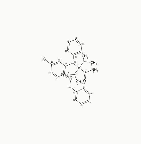 CC(C)C(C(N)=O)(C(C)C)C(c1ccccc1)c1cc(Br)ccc1OCc1ccccc1